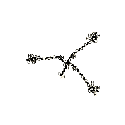 CC(=O)N[C@H]1[C@H]2OC[C@](COCCOCCOCCOCCn3cc(COCC(COCc4cn(CCOCCOCCOCCOC[C@@]56CO[C@@H](O5)[C@H](NC(C)=O)[C@@H](O)[C@H]6O)nn4)(COCc4cn(CCOCCOCCOCCOC[C@@]56CO[C@@H](O5)[C@H](NC(C)=O)[C@@H](O)[C@H]6O)nn4)NC(=O)CCCCCC(=O)O)nn3)(O2)[C@H](O)[C@@H]1O